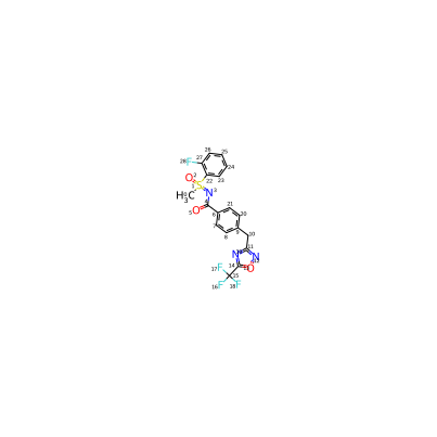 CS(=O)(=NC(=O)c1ccc(Cc2noc(C(F)(F)F)n2)cc1)c1ccccc1F